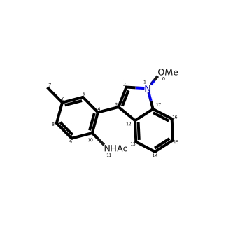 COn1cc(-c2cc(C)ccc2NC(C)=O)c2ccccc21